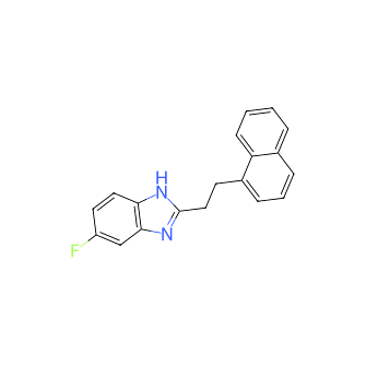 Fc1ccc2[nH]c(CCc3cccc4ccccc34)nc2c1